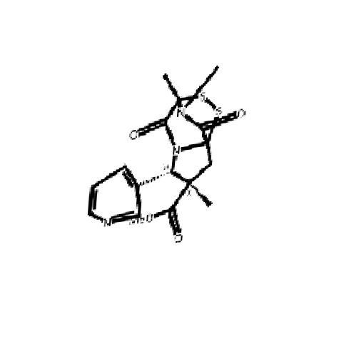 COC(=O)[C@@]1(C)CC23SSC(C)(C(=O)N2[C@H]1c1cccnc1)N(C)C3=O